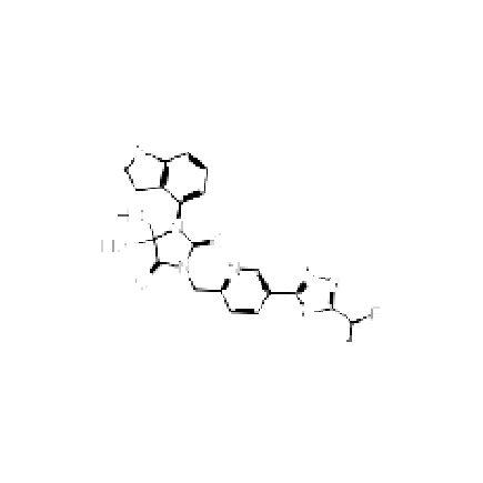 CC1(C)C(=O)N(Cc2ccc(-c3nnc(C(F)F)o3)cn2)C(=O)N1c1cccc2c1CCN2